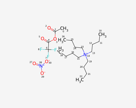 CC(=O)OC(=O)C(F)(F)F.CCCC[N+](CCCC)(CCCC)CCCC.O=[N+]([O-])[O-]